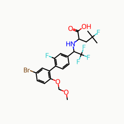 COCOc1ccc(Br)cc1-c1ccc(C(NC(CC(C)(C)F)C(=O)O)C(F)(F)F)cc1F